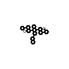 c1ccc2c(c1)Oc1ccc(-c3c4ccccc4c(-c4ccc5c6c(cccc46)-c4ccccc4O5)c4cc(-c5ccc6ccccc6c5)ccc34)c3cccc-2c13